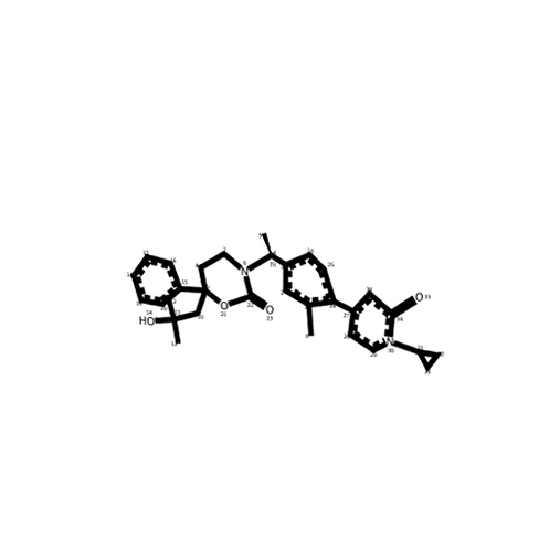 Cc1cc([C@H](C)N2CCC(CC(C)(C)O)(c3ccccc3)OC2=O)ccc1-c1ccn(C2CC2)c(=O)c1